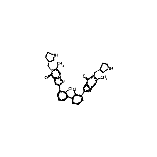 Cc1cn2nc(-c3cccc(-c4cccc(-c5cc6c(=O)n(C[C@H]7CCNC7)c(C)cn6n5)c4Cl)c3Cl)cc2c(=O)n1C[C@H]1CCNC1